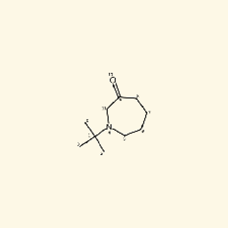 CC(C)(C)N1CCCCC(=O)C1